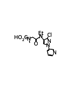 CCN(C(=O)CN(C)C(=O)O)c1cn(-c2cccnc2)nc1Cl